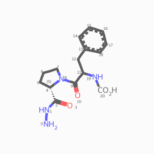 NNC(=O)[C@@H]1CCCN1C(=O)C(Cc1ccccc1)NC(=O)O